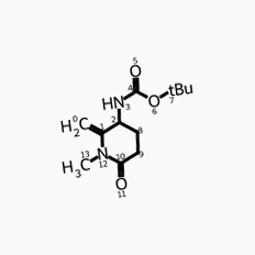 C=C1C(NC(=O)OC(C)(C)C)CCC(=O)N1C